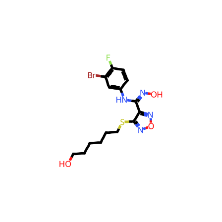 OCCCCCCSc1nonc1/C(=N\O)Nc1ccc(F)c(Br)c1